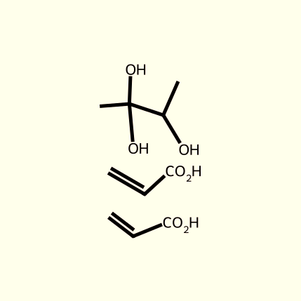 C=CC(=O)O.C=CC(=O)O.CC(O)C(C)(O)O